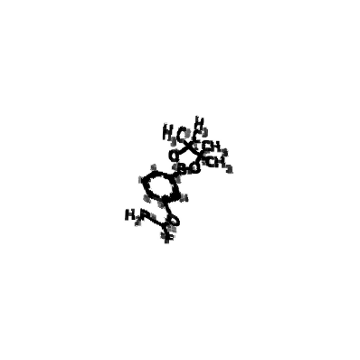 CC1(C)OB(c2cccc(OC(F)P)c2)OC1(C)C